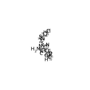 [C-]#[N+]c1c(N)nc(SCc2csc(-c3ccc(Cl)cc3)n2)c(C#N)c1-c1ccc(O[C@H]2CCC[C@@H]2O)cc1